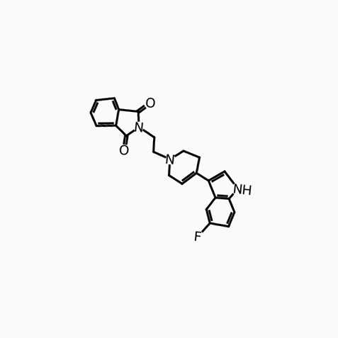 O=C1c2ccccc2C(=O)N1CCN1CC=C(c2c[nH]c3ccc(F)cc23)CC1